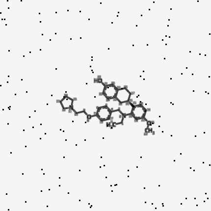 CCN(Cc1ccc(OCCN2CCCC2)cc1)c1cc(OC)ccc1[C@@H]1CCc2cc(O)ccc2C1